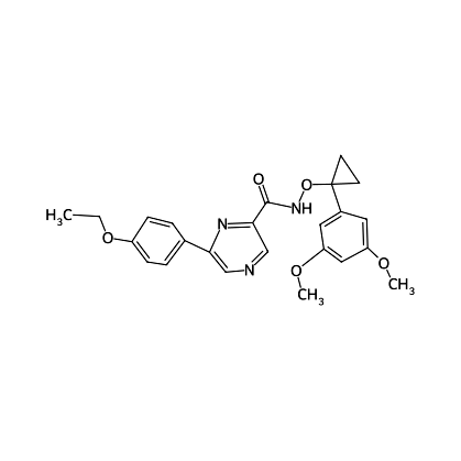 CCOc1ccc(-c2cncc(C(=O)NOC3(c4cc(OC)cc(OC)c4)CC3)n2)cc1